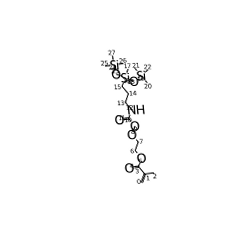 C=C(C)C(=O)OCCOOC(=O)NCCC[Si](C)(O[Si](C)(C)C)O[Si](C)(C)C